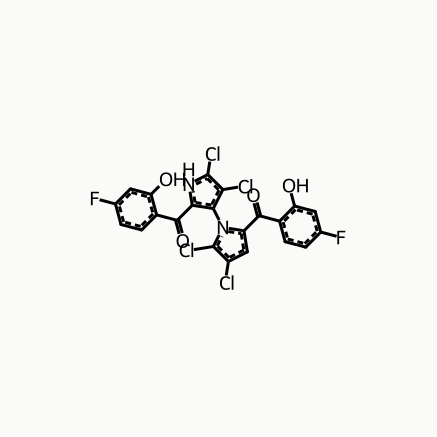 O=C(c1ccc(F)cc1O)c1[nH]c(Cl)c(Cl)c1-n1c(C(=O)c2ccc(F)cc2O)cc(Cl)c1Cl